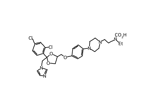 CCN(CCN1CCN(c2ccc(OCC3COC(Cn4ccnc4)(c4ccc(Cl)cc4Cl)O3)cc2)CC1)C(=O)O